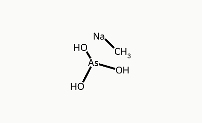 O[As](O)O.[CH3][Na]